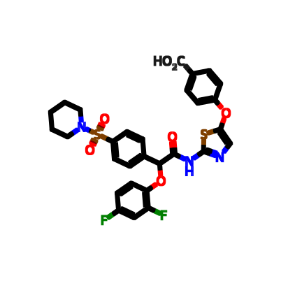 O=C(O)c1ccc(Oc2cnc(NC(=O)C(Oc3ccc(F)cc3F)c3ccc(S(=O)(=O)N4CCCCC4)cc3)s2)cc1